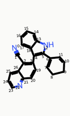 N#Cc1c(-c2c(C3=CCCC=C3)[nH]c3ccccc23)ccc2ncccc12